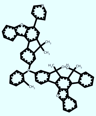 Cc1ccccc1N(c1ccc2c(c1)C(C)(C)c1cc(-c3ccncc3)c3oc4ccccc4c3c1-2)c1ccc2c(c1)C(C)(C)c1c3c(c4c(oc5ccccc54)c1-2)-c1ccccc1C3(C)C